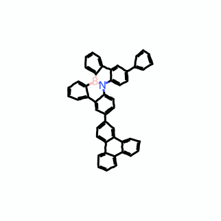 c1ccc(-c2ccc3c(c2)-c2ccccc2B2c4ccccc4-c4cc(-c5ccc6c7ccccc7c7ccccc7c6c5)ccc4N23)cc1